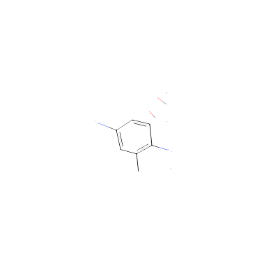 Cc1cc(N)ccc1N.O=C([O-])[O-].O=S(=O)(O)O.[K+].[K+]